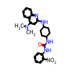 CN(C)c1cc(NC2CCC(NC(=O)Nc3ccccc3[N+](=O)[O-])CC2)nc2ccccc12